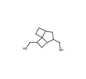 OCC1CN2CCC23C(CO)CN13